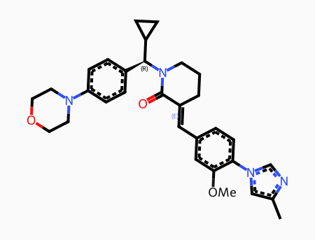 COc1cc(/C=C2\CCCN([C@@H](c3ccc(N4CCOCC4)cc3)C3CC3)C2=O)ccc1-n1cnc(C)c1